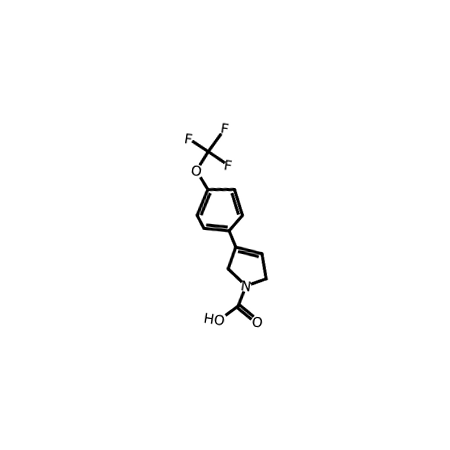 O=C(O)N1CC=C(c2ccc(OC(F)(F)F)cc2)C1